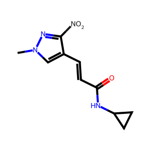 Cn1cc(C=CC(=O)NC2CC2)c([N+](=O)[O-])n1